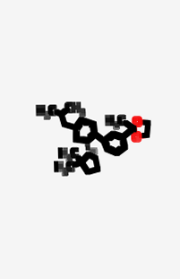 CC(C)Cc1ccc(-c2cccc(C3(C)OCCO3)c2)c([C@@H]2CCCC2(C)C)c1